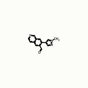 Cn1cc(-c2cc3cnccc3cc2C=O)cn1